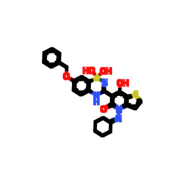 O=c1c(C2=NS(O)(O)c3cc(OCc4ccccc4)ccc3N2)c(O)c2sccc2n1N=C1CCCCC1